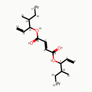 C=CC(OC(=O)/C=C/C(=O)OC(C=C)C(C)CC(C)C)C(C)CC(C)C